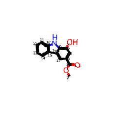 COC(=O)c1cc(O)c2[nH]c3ccccc3c2c1